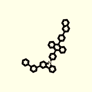 c1ccc(-c2cccc(-c3ccc4c(c3)c3ccccc3n4-c3ccc(-c4c5ccccc5c(-c5ccc(-c6ccc7ccccc7c6)cc5)c5ccccc45)cc3)c2)cc1